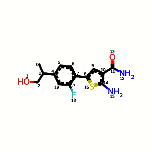 CC(CO)c1ccc(-c2cc(C(N)=O)c(N)s2)c(F)c1